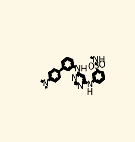 CNS(=O)(=O)c1cccc(Nc2cc(Nc3cccc(-c4ccc(N(C)C)cc4)c3)ncn2)c1